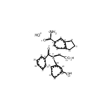 Cl.NC(=O)c1ccc2c(c1)CCC2.O=C(O)CN(C(=O)c1ccccc1)c1cccc(O)c1